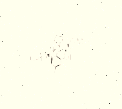 COC(=O)[C@@H]1CCCN1[S@@](=O)(=NC(=O)OC(C)(C)C)c1ccc(C)cc1O